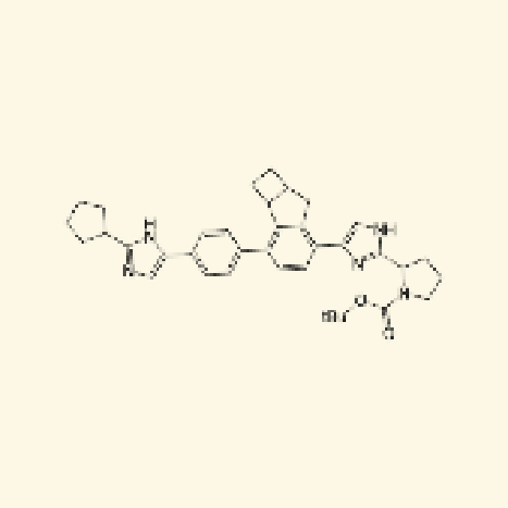 CC(C)(C)OC(=O)N1CCCC1c1nc(-c2ccc(-c3ccc(-c4cnc(C5CCCC5)[nH]4)cc3)c3c2CC2CCC32)c[nH]1